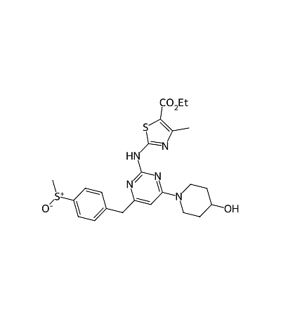 CCOC(=O)c1sc(Nc2nc(Cc3ccc([S+](C)[O-])cc3)cc(N3CCC(O)CC3)n2)nc1C